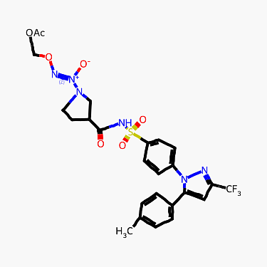 CC(=O)OCO/N=[N+](\[O-])N1CCC(C(=O)NS(=O)(=O)c2ccc(-n3nc(C(F)(F)F)cc3-c3ccc(C)cc3)cc2)C1